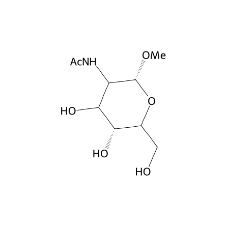 CO[C@@H]1OC(CO)[C@H](O)C(O)C1NC(C)=O